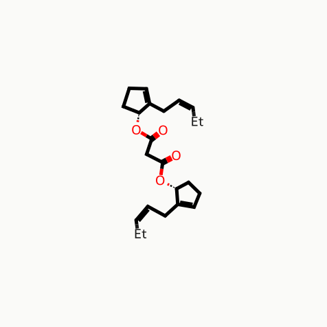 CC/C=C\CC1=CCC[C@H]1OC(=O)CC(=O)O[C@@H]1CCC=C1C/C=C\CC